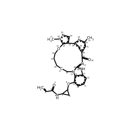 C=CC(=O)NC1CC1Oc1cccc2c1N1CCCCCOc3c(cnn3C)-c3cc(cc(C)n3)C(=O)/N=C/1N2